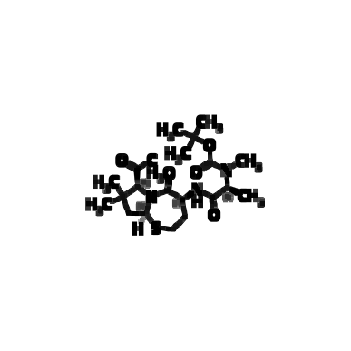 CC(=O)[C@H]1N2C(=O)[C@@H](NC(=O)[C@H](C)N(C)C(=O)OC(C)(C)C)CCS[C@H]2CC1(C)C